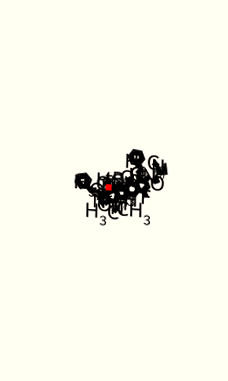 CN(C)[C@@H]1c2onc(OCc3ccccc3)c2C(=O)C2(O[Si](C)(C)C(C)(C)C)C(O)=C3C(=O)c4c(c(F)cc(NC(=O)[C@@H]5CCN5C)c4OCc4ccccc4)C[C@H]3C[C@@H]12